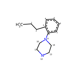 CCCc1ccccc1N1CC[N]CC1